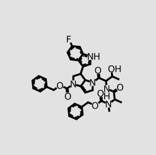 CC(O)C(NC(=O)C(C)N(C)C(=O)OCc1ccccc1)C(=O)N1CC=C2C1C(c1c[nH]c3cc(F)ccc13)CN2C(=O)OCc1ccccc1